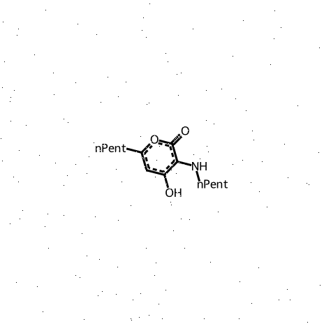 CCCCCNc1c(O)cc(CCCCC)oc1=O